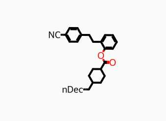 CCCCCCCCCCCC1CCC(C(=O)Oc2ccccc2CCc2ccc(C#N)cc2)CC1